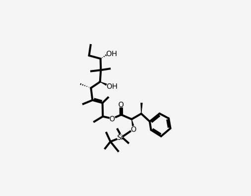 CC[C@H](O)C(C)(C)[C@@H](O)[C@@H](C)/C(C)=C(\C)C(C)OC(=O)[C@H](O[Si](C)(C)C(C)(C)C)[C@@H](C)c1ccccc1